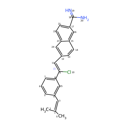 CC(C)=Cc1cccc(/C(Cl)=C/c2ccc3cc(C(=N)N)ccc3c2)c1